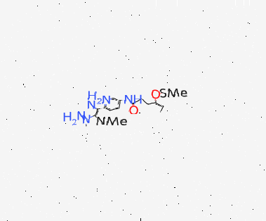 C/C=C(\CCC(=O)Nc1ccc(/C(N)=C(\NC)N(C)N)nc1)OSC